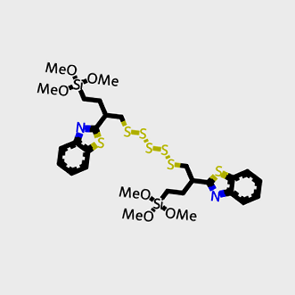 CO[Si](CCC(CSSSSSCC(CC[Si](OC)(OC)OC)c1nc2ccccc2s1)c1nc2ccccc2s1)(OC)OC